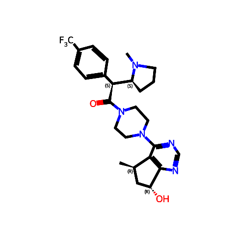 C[C@@H]1C[C@@H](O)c2ncnc(N3CCN(C(=O)[C@@H](c4ccc(C(F)(F)F)cc4)[C@@H]4CCCN4C)CC3)c21